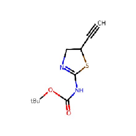 C#CC1CN=C(NC(=O)OC(C)(C)C)S1